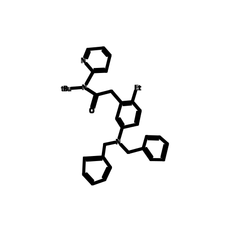 CCc1ccc(N(Cc2ccccc2)Cc2ccccc2)cc1CC(=O)N(c1ccccn1)C(C)(C)C